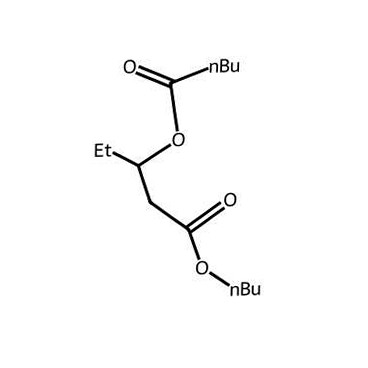 CCCCOC(=O)CC(CC)OC(=O)CCCC